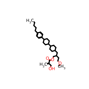 C=C(CO)C(=O)OCC(CCOC)CC1CCC(C2CCC(c3ccc(CCCCC)cc3)CC2)CC1